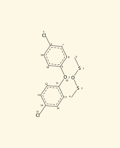 CSOSC.Clc1ccc(Oc2ccc(Cl)cc2)cc1